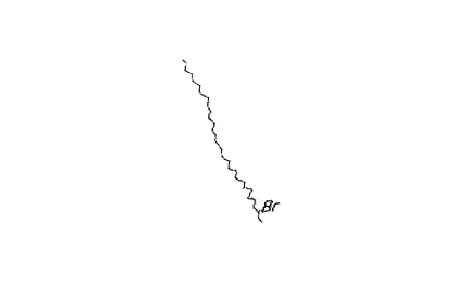 CCCCCCCCCCCCCCCCCCCCCCCCCCCC(Br)CC